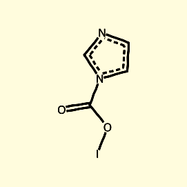 O=C(OI)n1ccnc1